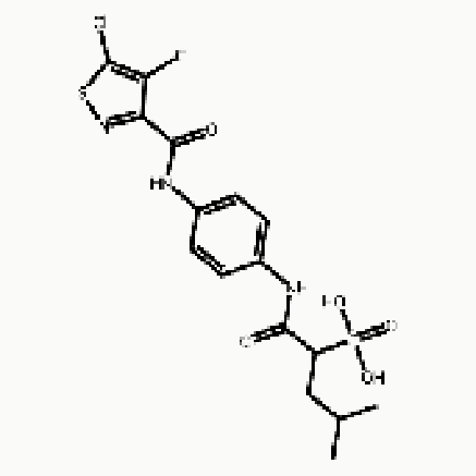 CC(C)CC(C(=O)Nc1ccc(NC(=O)c2nsc(Cl)c2Cl)cc1)P(=O)(O)O